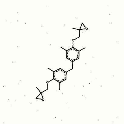 Cc1cc(Cc2cc(C)c(OCC3(C)CO3)c(C)c2)cc(C)c1OCC1(C)CO1